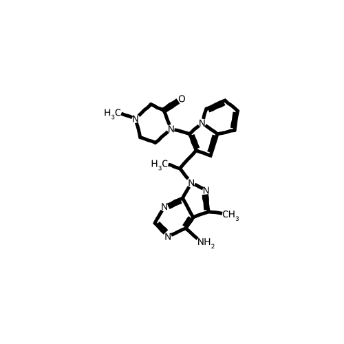 Cc1nn(C(C)c2cc3ccccn3c2N2CCN(C)CC2=O)c2ncnc(N)c12